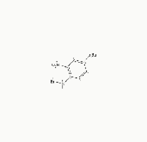 CCCCc1ccc(NBr)c([N+](=O)[O-])c1